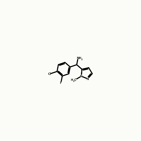 Cn1nccc1C(N)c1ccc(Cl)c(F)c1